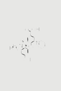 Cc1cc(C)cc(Oc2c(N3CCCCC3)cc(C(=O)O)cc2S(N)(=O)=O)c1